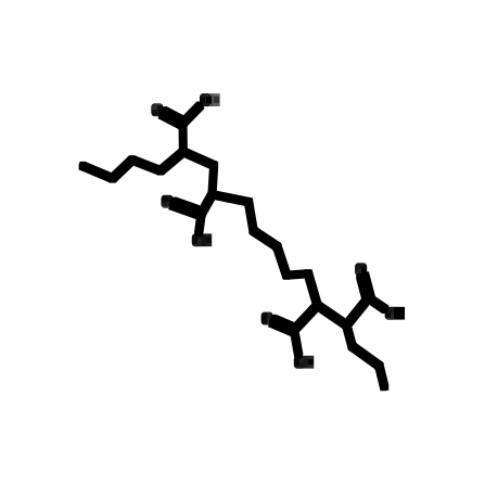 CCCCC(CC(CCCCCC(C(=O)O)C(CCC)C(=O)O)C(=O)O)C(=O)O